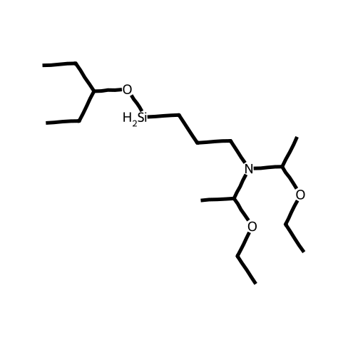 CCOC(C)N(CCC[SiH2]OC(CC)CC)C(C)OCC